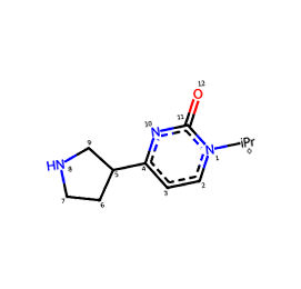 CC(C)n1ccc(C2CCNC2)nc1=O